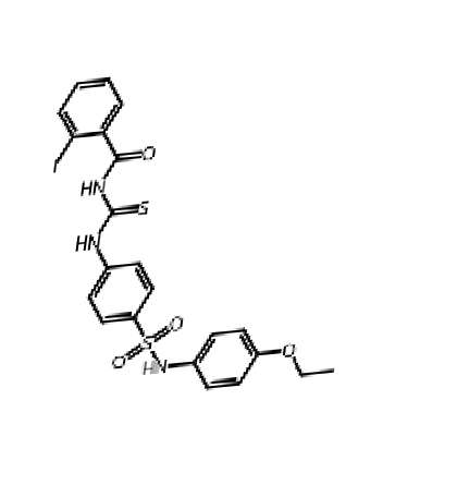 CCOc1ccc(NS(=O)(=O)c2ccc(NC(=S)NC(=O)c3ccccc3I)cc2)cc1